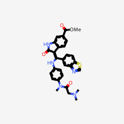 COC(=O)c1ccc2c(c1)NC(=O)/C2=C(\Nc1ccc(N(C)C(=O)CN(C)C)cc1)c1ccc2scnc2c1